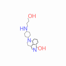 OCCCCNC1CCC(N2CCc3cnc(O)c4cccc2c34)CC1